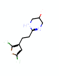 OC1CN=C(CCc2cc(Cl)sc2Cl)NC1